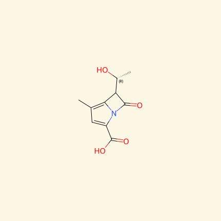 Cc1cc(C(=O)O)n2c1C([C@@H](C)O)C2=O